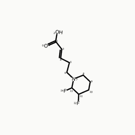 O=C(O)C=CCCN1CCCC(F)C1F